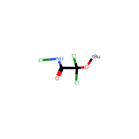 CC(C)(C)OC(Cl)(Cl)C(=O)NCl